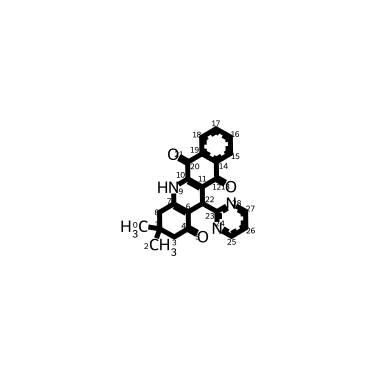 CC1(C)CC(=O)C2=C(C1)NC1=C(C(=O)c3ccccc3C1=O)C2c1ncccn1